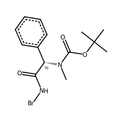 CN(C(=O)OC(C)(C)C)[C@H](C(=O)NBr)c1ccccc1